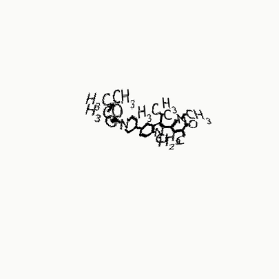 C=Cc1cc(-c2c(C(C)C)c3cc(C4CCN(C(=O)OC(C)(C)C)CC4)ccc3n2C)cn(CC)c1=O